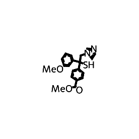 COC(=O)c1ccc(C(S)(Cn2ccnc2)c2cccc(OC)c2)cc1